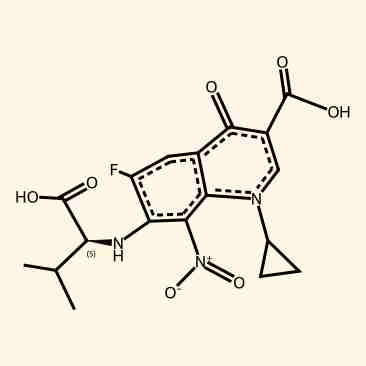 CC(C)[C@H](Nc1c(F)cc2c(=O)c(C(=O)O)cn(C3CC3)c2c1[N+](=O)[O-])C(=O)O